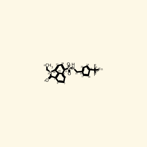 CCN1C(=O)c2cccc3c(S(=O)(=O)NCc4ccc(C(F)(F)F)cc4)ccc1c23